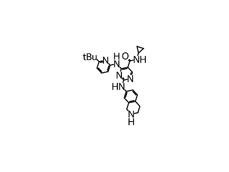 CC(C)(C)c1cccc(Nc2nc(Nc3ccc4c(c3)CNCC4)ncc2C(=O)NC2CC2)n1